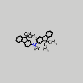 CC(C)N(c1ccc2c(c1)C(C)(C)c1ccccc1-2)c1ccc2c(c1)C(C)(C)c1ccccc1-2